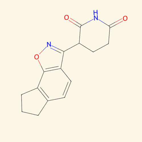 O=C1CCC(c2noc3c4c(ccc23)CCC4)C(=O)N1